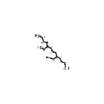 SCCCC(CS)CCCC(CS)CCCS